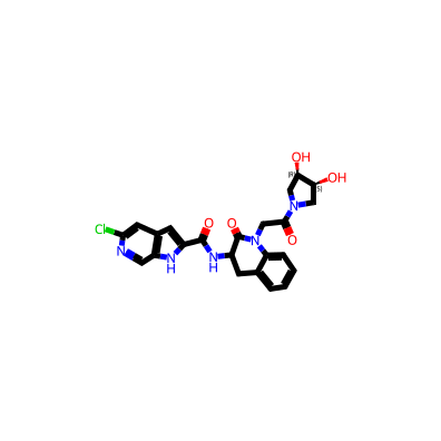 O=C(NC1Cc2ccccc2N(CC(=O)N2C[C@@H](O)[C@@H](O)C2)C1=O)c1cc2cc(Cl)ncc2[nH]1